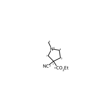 CCOC(=O)C1(C#N)CCN(C)C1